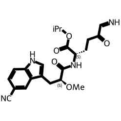 CO[C@@H](Cc1c[nH]c2ccc(C#N)cc12)C(=O)N[C@@H](CCC(=O)C=N)C(=O)OC(C)C